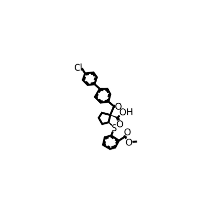 COC(=O)c1ccccc1S[C@H]1CCC[C@]1(C(=O)O)C(=O)c1ccc(-c2ccc(Cl)cc2)cc1